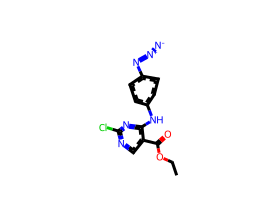 CCOC(=O)c1cnc(Cl)nc1Nc1ccc(N=[N+]=[N-])cc1